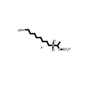 CCCCCCCCCCCCCCCCCC[N+](CC)(CC)C(C)OS(=O)(=O)O.[F-]